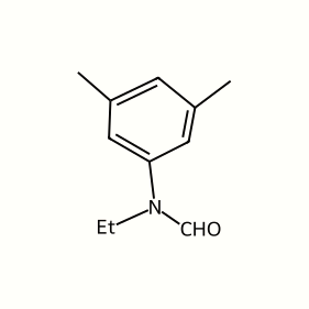 [CH2]CN(C=O)c1cc(C)cc(C)c1